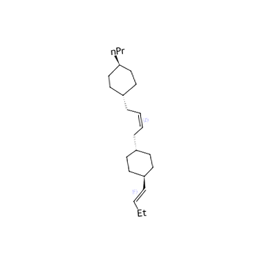 CC/C=C/[C@H]1CC[C@H](C/C=C\C[C@H]2CC[C@H](CCC)CC2)CC1